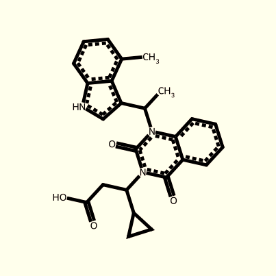 Cc1cccc2[nH]cc(C(C)n3c(=O)n(C(CC(=O)O)C4CC4)c(=O)c4ccccc43)c12